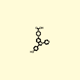 O=C(O)N1CCN(c2ccc3c(-c4ccc(O)cc4)cn(-c4ccncc4)c3c2)CC1